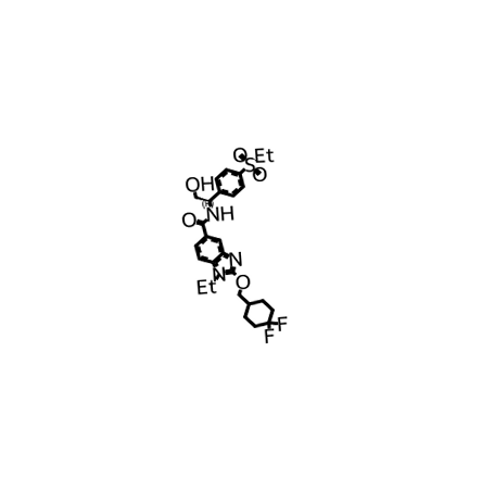 CCn1c(OCC2CCC(F)(F)CC2)nc2cc(C(=O)N[C@@H](CO)c3ccc(S(=O)(=O)CC)cc3)ccc21